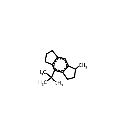 CC1CCc2c1cc1c(c2C(C)(C)C)CCC1